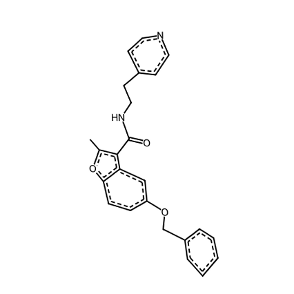 Cc1oc2ccc(OCc3ccccc3)cc2c1C(=O)NCCc1ccncc1